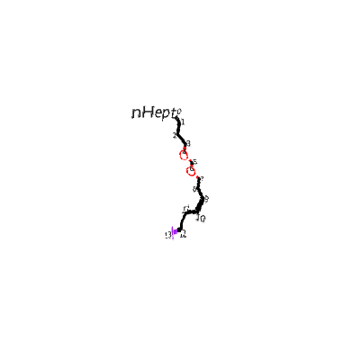 CCCCCCCCCCOCOCC/C=C\CCI